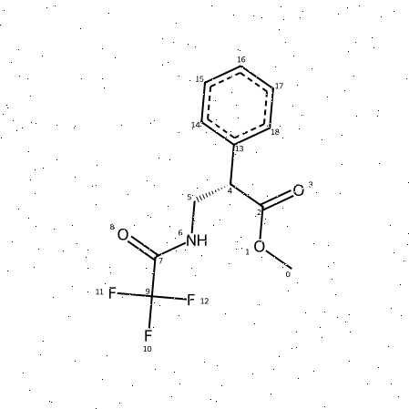 COC(=O)[C@H](CNC(=O)C(F)(F)F)c1ccccc1